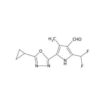 Cc1c(-c2nnc(C3CC3)o2)[nH]c(C(F)F)c1C=O